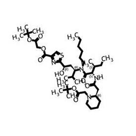 CCCCCCN(C(=O)[C@@H](NC(=O)C[C@H]1CCCCN1CC(=O)OC(C)(C)C)[C@@H](C)CC)[C@H](C[C@@H](O)c1nc(C(=O)OCC(=O)OC(C)(C)C)cs1)C(C)C